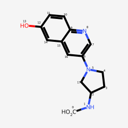 O=C(O)NC1CCN(c2cnc3ccc(O)cc3c2)C1